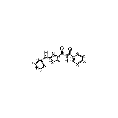 O=C(NC(=O)c1csc(Nc2ccncn2)n1)c1ccccc1